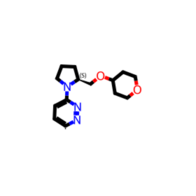 [c]1ccc(N2CCC[C@H]2COC2CCOCC2)nn1